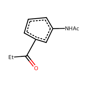 CCC(=O)c1cccc(NC(C)=O)c1